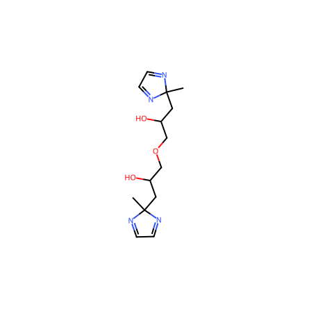 CC1(CC(O)COCC(O)CC2(C)N=CC=N2)N=CC=N1